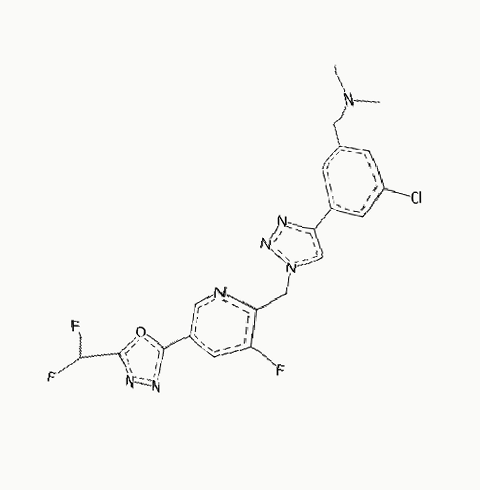 CN(C)Cc1cc(Cl)cc(-c2cn(Cc3ncc(-c4nnc(C(F)F)o4)cc3F)nn2)c1